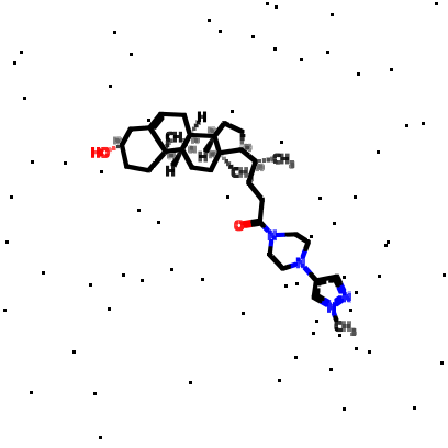 C[C@H](CCC(=O)N1CCN(c2cnn(C)c2)CC1)[C@H]1CC[C@H]2[C@@H]3CC=C4C[C@@H](O)CC[C@]4(C)[C@H]3CC[C@]12C